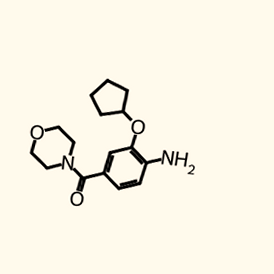 Nc1ccc(C(=O)N2CCOCC2)cc1OC1CCCC1